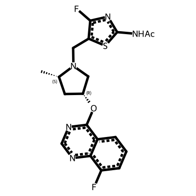 CC(=O)Nc1nc(F)c(CN2C[C@H](Oc3ncnc4c(F)cccc34)C[C@@H]2C)s1